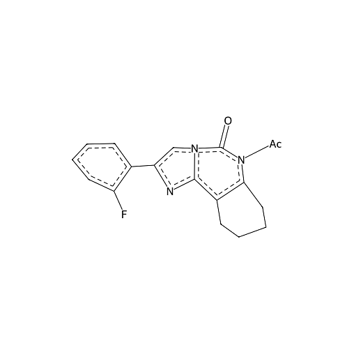 CC(=O)n1c2c(c3nc(-c4ccccc4F)cn3c1=O)CCCC2